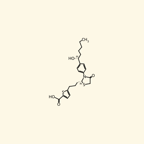 CCCCC[C@@H](O)c1ccc(N2C(=O)CS[C@@H]2CCCc2ccc(C(=O)O)s2)cc1